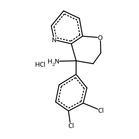 Cl.NC1(c2ccc(Cl)c(Cl)c2)CCOc2cccnc21